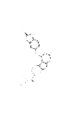 CN(C)C(=O)C1CCc2c(sc3ncnc(Nc4ccc5[nH]c(=O)sc5c4)c23)C1